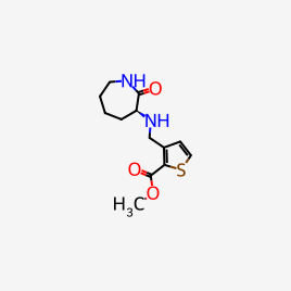 COC(=O)c1sccc1CN[C@H]1CCCCNC1=O